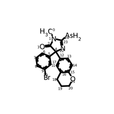 CN1C(=O)C(c2cccc(Br)c2)(c2ccc3c(c2)CCCO3)N=C1[AsH2]